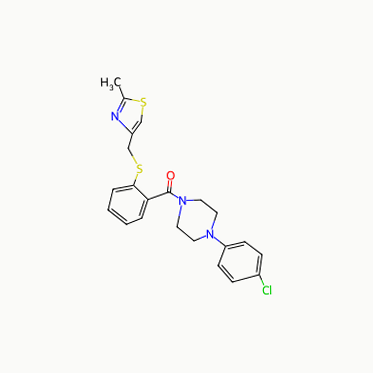 Cc1nc(CSc2ccccc2C(=O)N2CCN(c3ccc(Cl)cc3)CC2)cs1